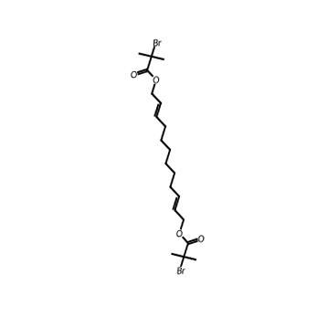 CC(C)(Br)C(=O)OCC=CCCCCCCC=CCOC(=O)C(C)(C)Br